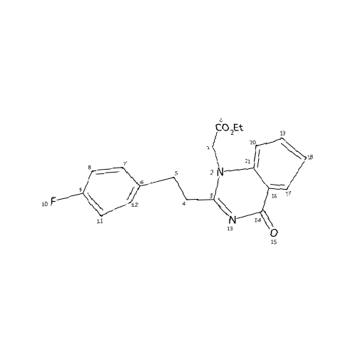 CCOC(=O)Cn1c(CCc2ccc(F)cc2)nc(=O)c2ccccc21